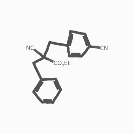 CCOC(=O)C(C#N)(Cc1ccccc1)Cc1ccc(C#N)cc1